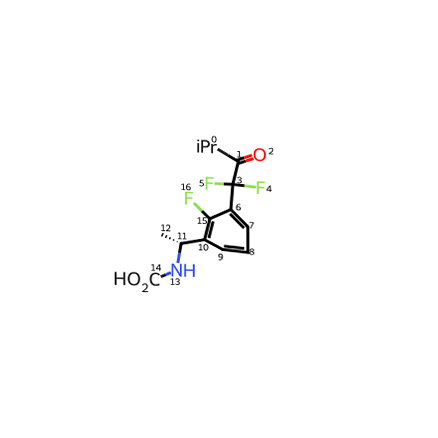 CC(C)C(=O)C(F)(F)c1cccc([C@@H](C)NC(=O)O)c1F